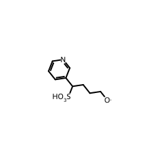 [O]CCCC(c1cccnc1)S(=O)(=O)O